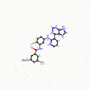 COc1cc(C(=O)Nc2cc(Nc3ncccc3-c3ncnc4[nH]cnc34)ccc2F)cc(C(F)(F)F)c1